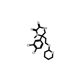 CN1C(=O)C(=O)NCC1(CCOC1CCCCO1)c1ccc(Cl)c(Cl)c1